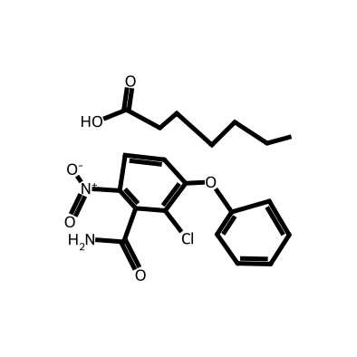 CCCCCCC(=O)O.NC(=O)c1c([N+](=O)[O-])ccc(Oc2ccccc2)c1Cl